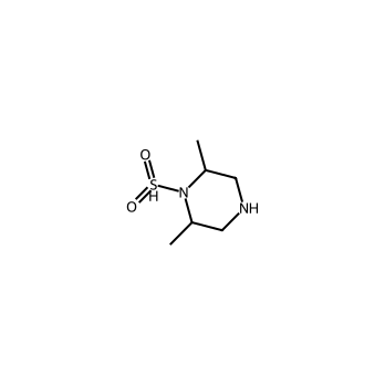 CC1CNCC(C)N1[SH](=O)=O